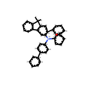 CC1(C)c2ccccc2-c2cc(N(c3ccccc3)c3ccc(-c4ccccc4)cc3)c(-c3ccccc3)cc21